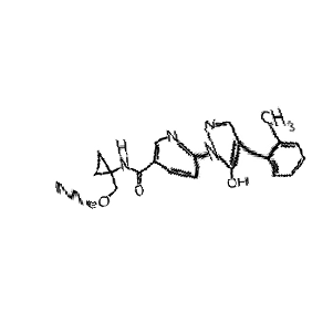 COCC1(NC(=O)c2ccc(-n3ncc(-c4ccccc4C)c3O)nc2)CC1